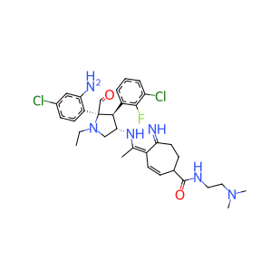 CCN1C[C@@H](N/C(C)=C2/C=CC(C(=O)NCCN(C)C)CCC2=N)[C@H](c2cccc(Cl)c2F)[C@@]1(C=O)c1ccc(Cl)cc1N